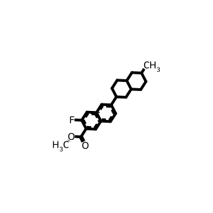 COC(=O)c1cc2ccc(C3CCC4CC(C)CCC4C3)cc2cc1F